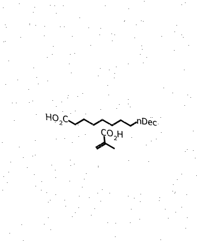 C=C(C)C(=O)O.CCCCCCCCCCCCCCCCCC(=O)O